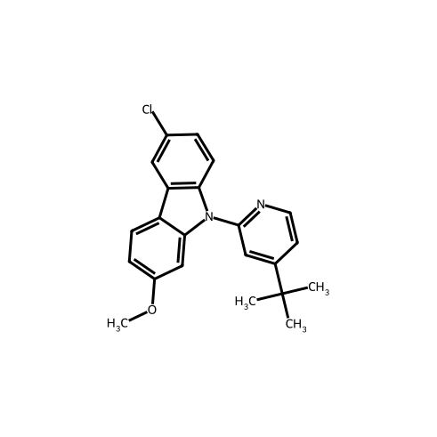 COc1ccc2c3cc(Cl)ccc3n(-c3cc(C(C)(C)C)ccn3)c2c1